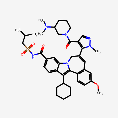 COc1ccc2c(c1)C=C(c1c(C(=O)N3CCCC(N(C)C)C3)cnn1C)Cn1c-2c(C2CCCCC2)c2ccc(C(=O)NS(=O)(=O)CC(C)C)cc21